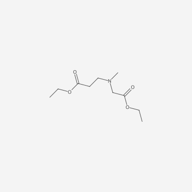 CCOC(=O)CCN(C)CC(=O)OCC